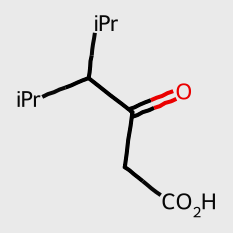 CC(C)C(C(=O)CC(=O)O)C(C)C